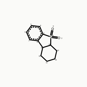 O=S1(=O)c2ccccc2C2CCCCC21